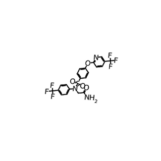 NC(=O)CN(c1ccc(C(F)(F)F)cc1)S(=O)(=O)c1ccc(Oc2ccc(C(F)(F)F)cn2)cc1